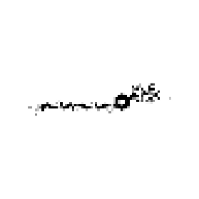 CS(=O)(=O)c1nnc(-c2ccc(OCCOCCOCCOCCN)cc2)o1